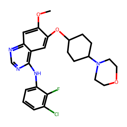 COc1cc2ncnc(Nc3cccc(Cl)c3F)c2cc1OC1CCC(N2CCOCC2)CC1